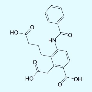 O=C(O)CCCc1c(NC(=O)c2ccccc2)ccc(C(=O)O)c1CC(=O)O